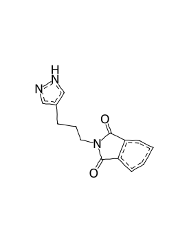 O=C1c2ccccc2C(=O)N1CCCc1cn[nH]c1